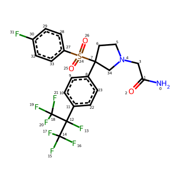 NC(=O)CN1CCC(c2ccc(C(F)(C(F)(F)F)C(F)(F)F)cc2)(S(=O)(=O)c2ccc(F)cc2)C1